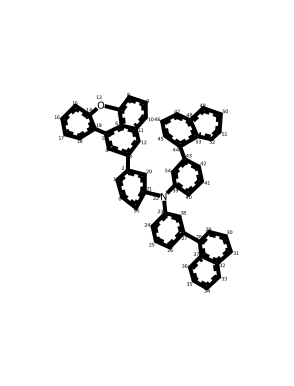 c1cc(-c2cc3c4c(cccc4c2)Oc2ccccc2-3)cc(N(c2cccc(-c3cccc4ccccc34)c2)c2cccc(-c3cccc4ccccc34)c2)c1